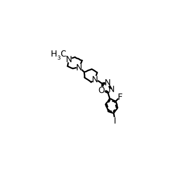 CN1CCN(C2CCN(c3nnc(-c4ccc(I)cc4F)o3)CC2)CC1